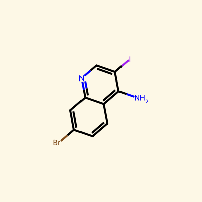 Nc1c(I)cnc2cc(Br)ccc12